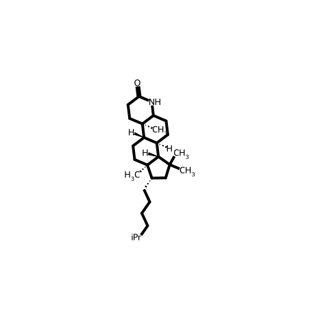 CC(C)CCCC[C@H]1CC(C)(C)[C@H]2[C@@H]3CCC4NC(=O)CC[C@]4(C)[C@H]3CC[C@]12C